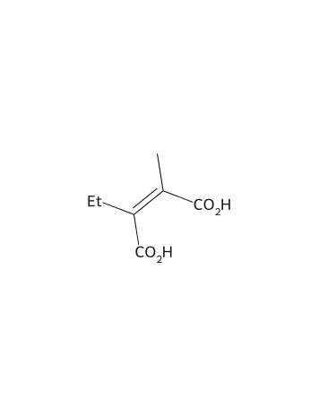 CCC(C(=O)O)=C(C)C(=O)O